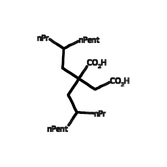 CCCCCC(CCC)CC(CC(=O)O)(CC(CCC)CCCCC)C(=O)O